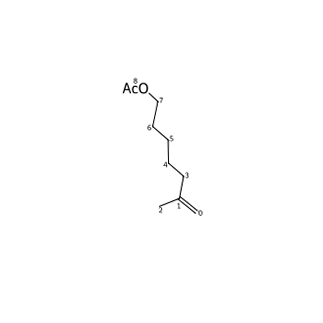 C=C(C)CCCCCOC(C)=O